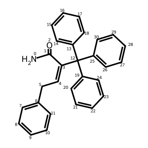 NC(=O)C(=CCc1ccccc1)C(c1ccccc1)(c1ccccc1)c1ccccc1